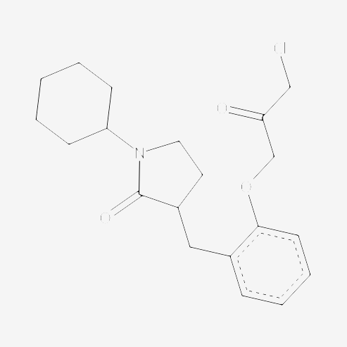 O=C(CCl)COc1ccccc1CC1CCN(C2CCCCC2)C1=O